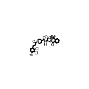 CSc1ccc(C=CC(=O)N2CCC(C(=O)N[C@@H](CNC(=O)c3ccccc3C(F)(F)F)C(=O)O)CC2)c(Cl)c1Cl